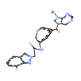 CC(C)n1cc(C(=O)c2cncc(NC(=O)Cn3cc4cccc(F)c4n3)c2)c2cncnc21